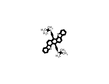 CC(C)(C)SC#Cc1c2c(c(C#CSC(C)(C)C)c3c1ccc1c4ccccc4sc13)C=CC1c3ccccc3SC21